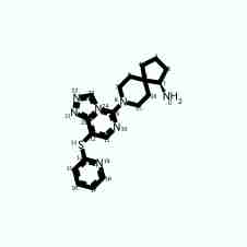 N[C@@H]1CCCC12CCN(c1ncc(Sc3ccccn3)c3nncn13)CC2